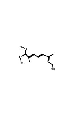 CCOC(OCC)C(C)=CC=CC(C)=CCO